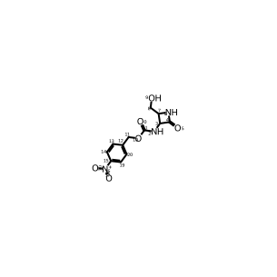 O=C(NC1C(=O)NC1CO)OCc1ccc([N+](=O)[O-])cc1